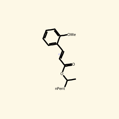 CCCCCC(C)OC(=O)/C=C/c1ccccc1OC